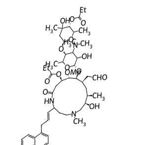 CCC(=O)O[C@@H]1C(C)O[C@@H](O[C@@H]2C(C)O[C@@H](O[C@H]3[C@@H](CC=O)C[C@@H](C)[C@@H](O)CN(C)CCC(/C=C/Cc4ccnc5ccccc45)NC(=O)C[C@@H](OC(=O)CC)[C@@H]3OC)C(O)C2N(C)C)CC1(C)O